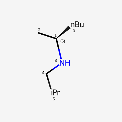 CCCC[C@H](C)NCC(C)C